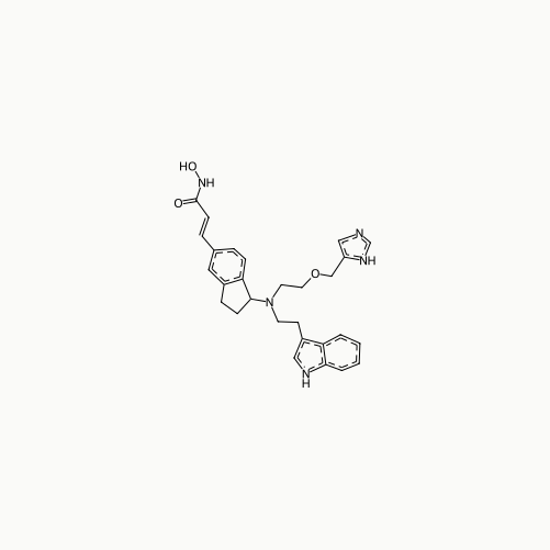 O=C(/C=C/c1ccc2c(c1)CCC2N(CCOCc1cnc[nH]1)CCc1c[nH]c2ccccc12)NO